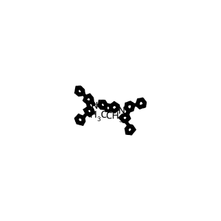 CC1(C)c2cc(-n3c4ccc(-c5ccccc5)cc4c4cc(-c5ccccc5)ccc43)ccc2-c2ccc(-n3c4ccc(-c5ccccc5)cc4c4cc(-c5ccccc5)ccc43)cc21